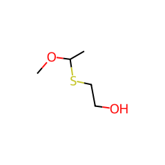 COC(C)SCCO